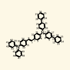 C(=C\c1ccc(N(c2ccc(-c3ccccc3)cc2)c2ccc(-c3ccccc3)cc2)cc1)/c1ccc(N(c2ccccc2)c2ccccc2)cc1